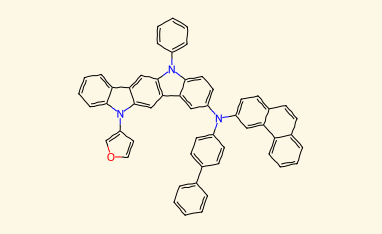 c1ccc(-c2ccc(N(c3ccc4ccc5ccccc5c4c3)c3ccc4c(c3)c3cc5c(cc3n4-c3ccccc3)c3ccccc3n5-c3ccoc3)cc2)cc1